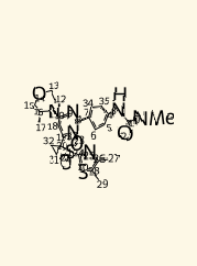 CNC(=O)Nc1ccc(-c2nc(N3CCOC[C@@H]3C)cc(C3(S(=O)(=O)c4nc(C)c(C)s4)CC3)n2)cc1